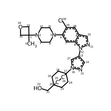 CC1(N2CCN(c3cc4c(cnn4-c4cnn(C56CCC(CO)(CC5)CC6)c4)cc3Cl)CC2)COC1